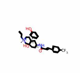 C=CC[N@@+]1(C)CC[C@@]2(c3cccc(O)c3)C[C@@H](NC(=O)C#Cc3ccc(C(F)(F)F)cc3)CCC2(O)C1